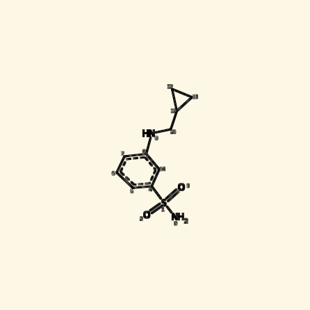 NS(=O)(=O)c1cccc(NCC2CC2)c1